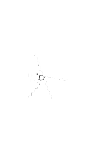 CCCCCCCCCc1c(CCCCCCCCC)c(OOCCCCCCC)c(O)c(C(=O)O)c1CCCCCCCCC